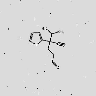 CC(C)C(C#N)(CCC=O)c1cccs1